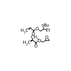 C=C(C)C(=O)OCC1CO1.C=CC(=O)OCC(CC)CCCC